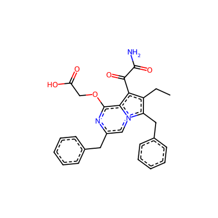 CCc1c(C(=O)C(N)=O)c2c(OCC(=O)O)nc(Cc3ccccc3)cn2c1Cc1ccccc1